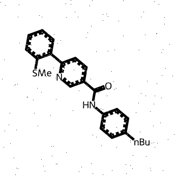 CCCCc1ccc(NC(=O)c2ccc(-c3ccccc3SC)nc2)cc1